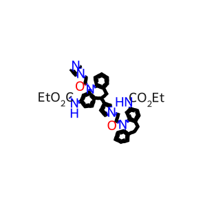 CCOC(=O)Nc1ccc2c(c1)N(C(=O)Cn1ccc(C3Cc4ccccc4N(C(=O)Cn4ccnc4)c4cc(NC(=O)OCC)ccc43)c1)c1ccccc1CC2